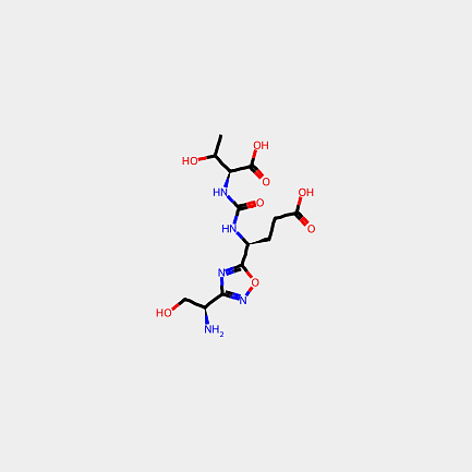 CC(O)[C@H](NC(=O)N[C@@H](CCC(=O)O)c1nc([C@@H](N)CO)no1)C(=O)O